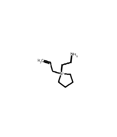 C=CC[N+]1(CCN)CCCC1